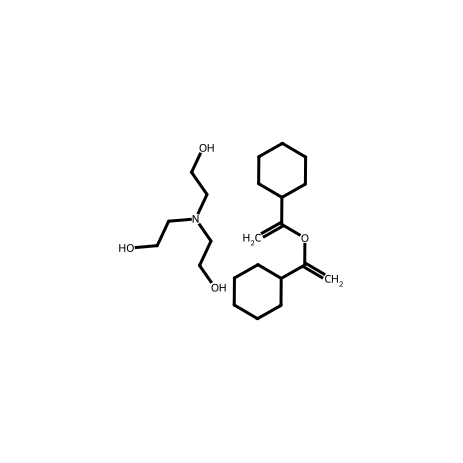 C=C(OC(=C)C1CCCCC1)C1CCCCC1.OCCN(CCO)CCO